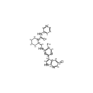 O=C(Nc1cccnc1)N1CCCC[C@@H]1CNc1nc(-c2c[nH]c3ncc(Cl)cc23)ncc1F